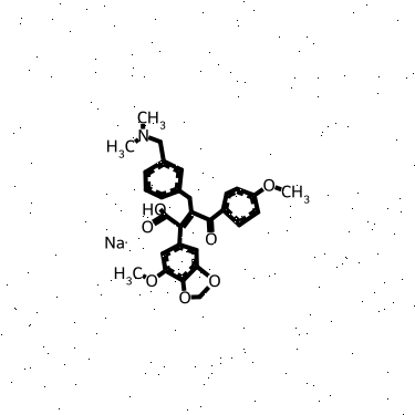 COc1ccc(C(=O)C(Cc2cccc(CN(C)C)c2)=C(C(=O)O)c2cc(OC)c3c(c2)OCO3)cc1.[Na]